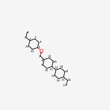 CCC1CCC(OCC2CCC(C3CCC(CC)CC3)CC2)CC1